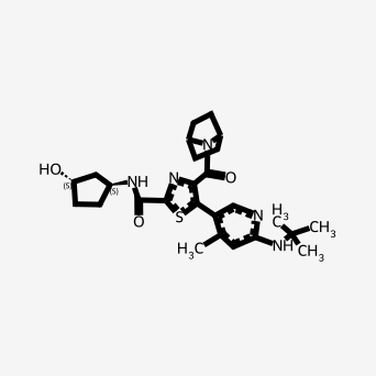 Cc1cc(NC(C)(C)C)ncc1-c1sc(C(=O)N[C@H]2CC[C@H](O)C2)nc1C(=O)N1C2CCC1CC2